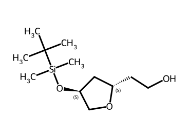 CC(C)(C)[Si](C)(C)O[C@@H]1CO[C@@H](CCO)C1